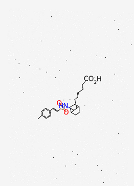 Cc1ccc(/C=C/S(=O)(=O)NC2C3CCC(CC3)C2C/C=C/CCCC(=O)O)cc1